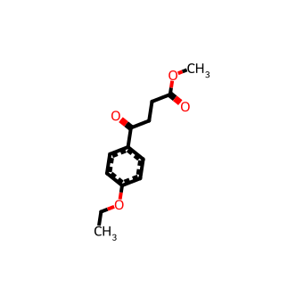 CCOc1ccc(C(=O)CCC(=O)OC)cc1